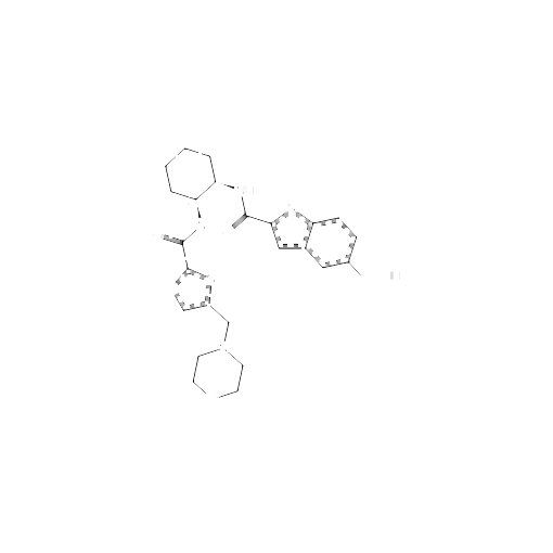 Cl.O=C(N[C@@H]1CCCC[C@@H]1NC(=O)c1nc(CN2CCOCC2)cs1)c1cc2cc(Cl)ccc2[nH]1